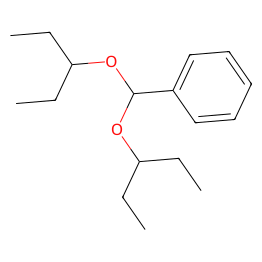 CCC(CC)OC(OC(CC)CC)c1ccccc1